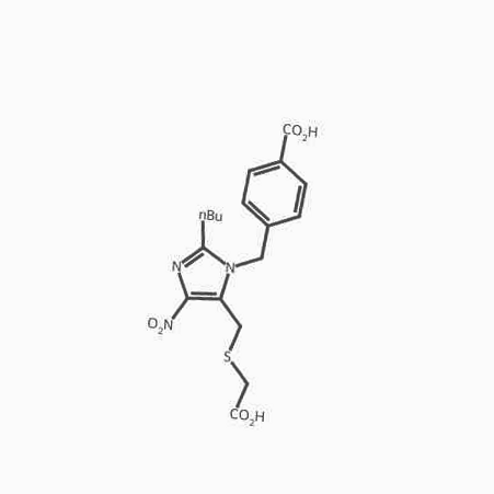 CCCCc1nc([N+](=O)[O-])c(CSCC(=O)O)n1Cc1ccc(C(=O)O)cc1